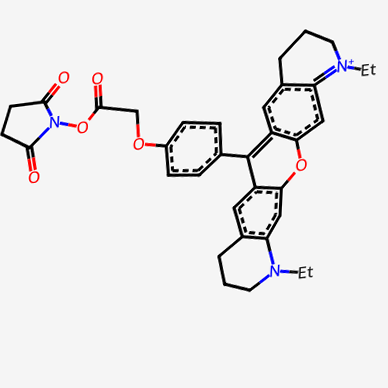 CCN1CCCc2cc3c(cc21)Oc1cc2c(cc1=C3c1ccc(OCC(=O)ON3C(=O)CCC3=O)cc1)CCC[N+]=2CC